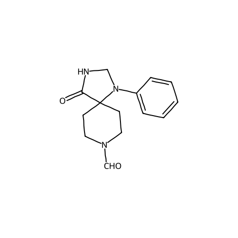 O=CN1CCC2(CC1)C(=O)NCN2c1ccccc1